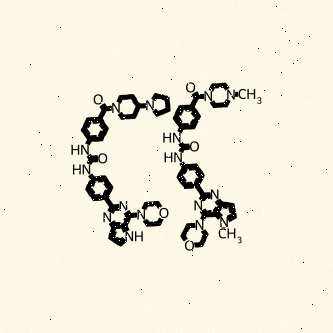 CN1CCN(C(=O)c2ccc(NC(=O)Nc3ccc(-c4nc(N5CCOCC5)c5c(ccn5C)n4)cc3)cc2)CC1.O=C(Nc1ccc(C(=O)N2CCC(N3CCCC3)CC2)cc1)Nc1ccc(-c2nc(N3CCOCC3)c3[nH]ccc3n2)cc1